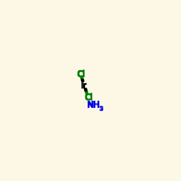 N.[Cl][Ir][Cl]